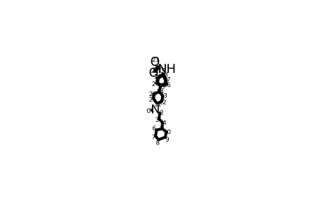 CN(CCCC1CCCCC1)C1CCC(c2ccc3[nH]c(=O)oc3c2)CC1